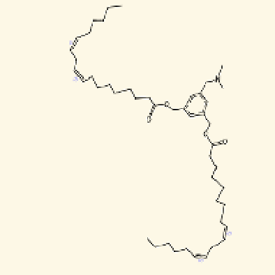 CCCCC/C=C\C/C=C\CCCCCCCC(=O)OCc1cc(COC(=O)CCCCCCC/C=C\C/C=C\CCCCC)cc(CN(C)C)c1